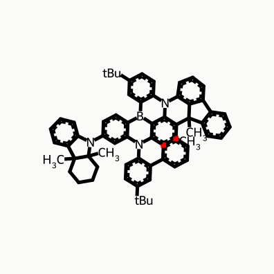 Cc1cc2c3c4c1C1(C)c5ccccc5-c5cccc(c51)N4c1ccc(C(C)(C)C)cc1B3c1ccc(N3c4ccccc4C4(C)CCCCC34C)cc1N2c1ccc(C(C)(C)C)cc1-c1ccccc1